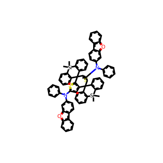 C[Si]1(C)c2ccccc2C2(c3ccccc31)c1cc(N(c3ccccc3)c3ccc4c(c3)oc3ccccc34)sc1C1(c3ccccc3[Si](C)(C)c3ccccc31)c1cc(N(c3ccccc3)c3ccc4c(c3)oc3ccccc34)sc12